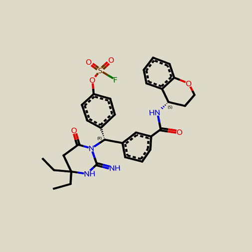 CCC1(CC)CC(=O)N([C@H](c2ccc(OS(=O)(=O)F)cc2)c2cccc(C(=O)N[C@H]3CCOc4ccccc43)c2)C(=N)N1